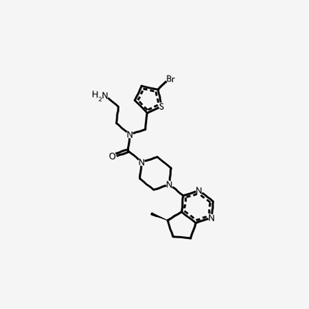 C[C@@H]1CCc2ncnc(N3CCN(C(=O)N(CCN)Cc4ccc(Br)s4)CC3)c21